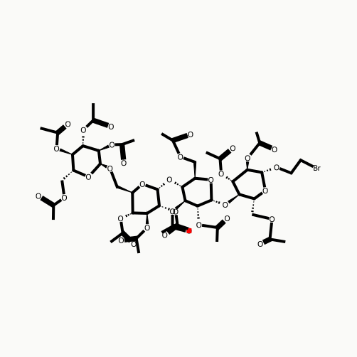 CC(=O)OC[C@H]1O[C@H](OC[C@H]2O[C@H](O[C@H]3[C@H](OC(C)=O)[C@@H](OC(C)=O)[C@@H](O[C@H]4[C@H](OC(C)=O)[C@@H](OC(C)=O)[C@H](OCCBr)O[C@@H]4COC(C)=O)O[C@@H]3COC(C)=O)[C@H](OC(C)=O)[C@@H](OC(C)=O)[C@@H]2OC(C)=O)[C@H](OC(C)=O)[C@@H](OC(C)=O)[C@@H]1OC(C)=O